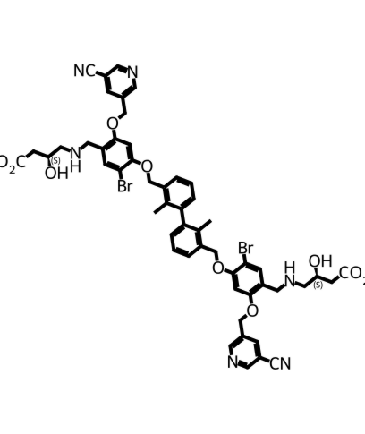 Cc1c(COc2cc(OCc3cncc(C#N)c3)c(CNC[C@@H](O)CC(=O)O)cc2Br)cccc1-c1cccc(COc2cc(OCc3cncc(C#N)c3)c(CNC[C@@H](O)CC(=O)O)cc2Br)c1C